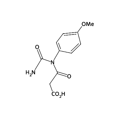 COc1ccc(N(C(N)=O)C(=O)CC(=O)O)cc1